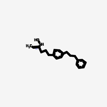 C/C=C(/CCCc1ccc(CCCc2ccccc2)cc1)NO